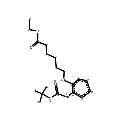 CCOC(=O)CCCCCOc1ccccc1NC(=O)OC(C)(C)C